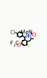 CNC(=O)N1N=C(c2ccc(Cl)cc2)c2cc(OC(F)(F)F)cc(F)c2CC1C